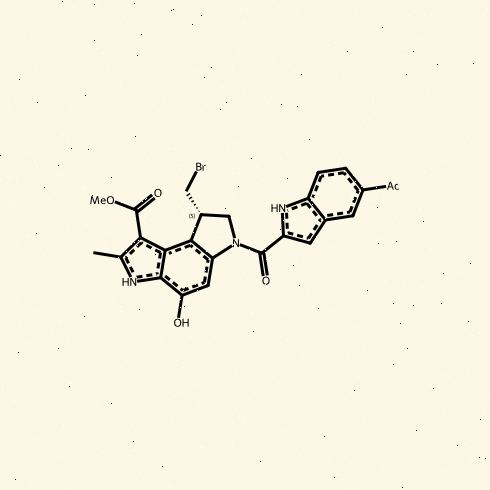 COC(=O)c1c(C)[nH]c2c(O)cc3c(c12)[C@H](CBr)CN3C(=O)c1cc2cc(C(C)=O)ccc2[nH]1